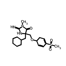 CN1C(=N)NC(COC2C=CC(S(C)(=O)=O)=CC2)(CC2CCCCC2)C1=O